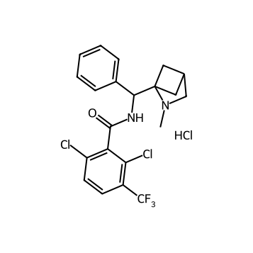 CN1CC2CC1(C(NC(=O)c1c(Cl)ccc(C(F)(F)F)c1Cl)c1ccccc1)C2.Cl